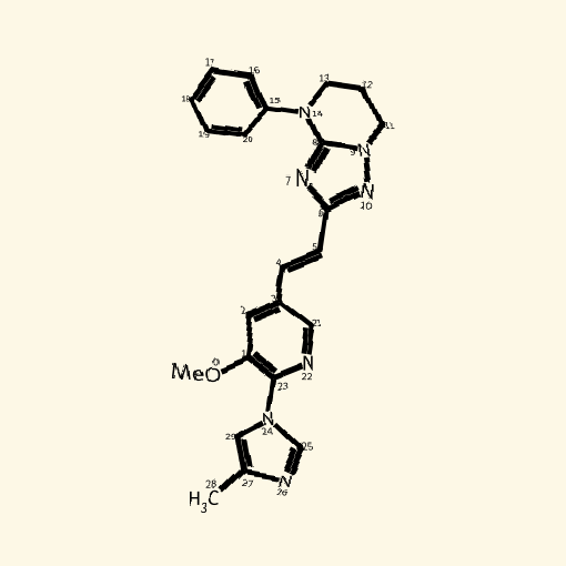 COc1cc(/C=C/c2nc3n(n2)CCCN3c2ccccc2)cnc1-n1cnc(C)c1